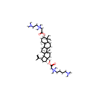 C=C(C)[C@@H]1CC[C@]2(COC(=O)C[N+](C)(C)CCCCN(C)C)CC[C@]3(C)C(CCC4[C@@]5(C)CC[C@H](OC(=O)C[N+](C)(C)CCN(C)C)C(C)(C)C5CC[C@]43C)C12